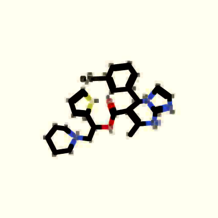 CC1=C(C(=O)OC(CN2CCCCC2)c2cccs2)C(c2cccc([N+](=O)[O-])c2)n2ccnc2N1